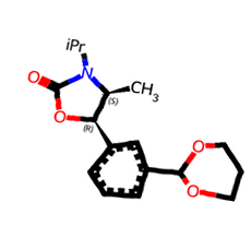 CC(C)N1C(=O)O[C@H](c2cccc(C3OCCCO3)c2)[C@@H]1C